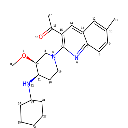 CO[C@H]1CN(c2nc3ccc(C)cc3cc2C(C)=O)CC[C@H]1NC1CCCCC1